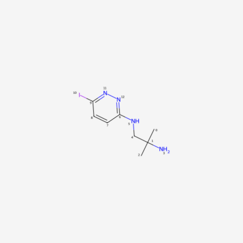 CC(C)(N)CNc1ccc(I)nn1